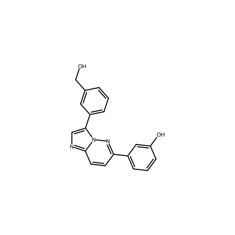 OCc1cccc(-c2cnc3ccc(-c4cccc(O)c4)nn23)c1